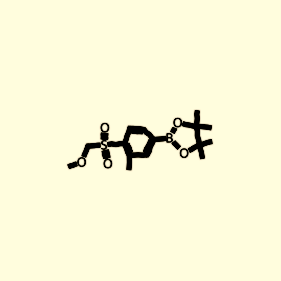 COCS(=O)(=O)c1ccc(B2OC(C)(C)C(C)(C)O2)cc1C